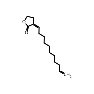 C=CCCCCCCCC/C=C1/CCOC1=O